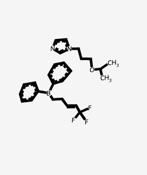 CC(C)OCCCn1ccnc1.FC(F)(F)C=CCCB(c1ccccc1)c1ccccc1